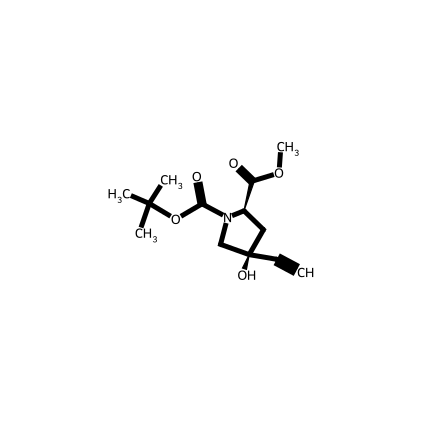 C#C[C@@]1(O)C[C@H](C(=O)OC)N(C(=O)OC(C)(C)C)C1